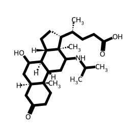 CC(C)NC1C[C@H]2[C@@H](C(O)C[C@@H]3CC(=O)CC[C@@]32C)[C@@H]2CC[C@H]([C@H](C)CCC(=O)O)[C@@]12C